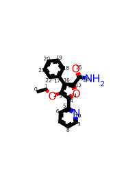 CCOc1c(-c2ccccn2)oc(C(N)=O)c1-c1ccccc1